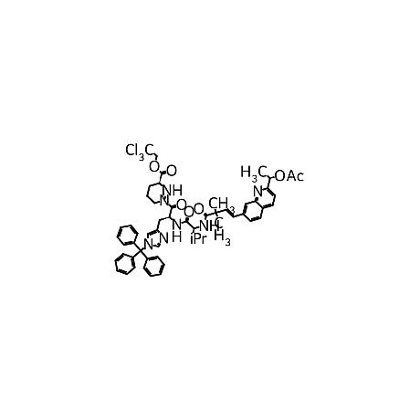 CC(=O)O[C@H](C)c1ccc2ccc(C=CC(C)(C)C(=O)N[C@H](C(=O)N[C@@H](Cc3cn(C(c4ccccc4)(c4ccccc4)c4ccccc4)cn3)C(=O)N3CCC[C@@H](C(=O)OCC(Cl)(Cl)Cl)N3)C(C)C)cc2n1